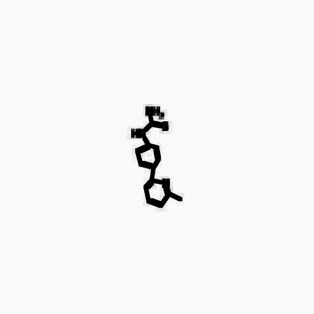 Cc1cccc(-c2ccc(NC(N)=S)cc2)n1